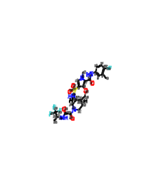 Cc1cc(NC(=O)c2c3c(cn2C)S(=O)(=O)N[C@@H]2CN(C(=O)C(=O)N[C@@H](C)C(F)(F)F)CC[C@@H]2CO3)ccc1F